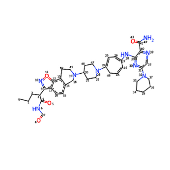 CCCC(C(=O)NC=O)c1noc2c3c(ccc12)CN(C1CCN(C2=CC=C(Nc4nc(N5CCCCC5)cnc4C(N)=O)C=CC2)CC1)CC3